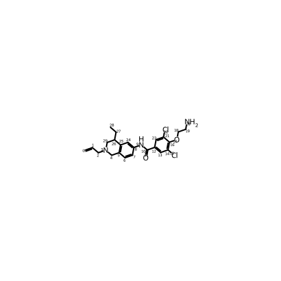 C=CCN1Cc2ccc(NC(=O)c3cc(Cl)c(OCCN)c(Cl)c3)cc2C(CC)C1